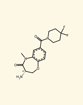 CN1C(=O)[C@@H](N)COc2ccc(C(=O)N3CCC(F)(F)CC3)cc21